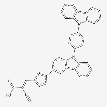 [C-]#[N+]/C(=C\c1ccc(-c2ccc3c(c2)c2ccccc2n3-c2ccc(-n3c4ccccc4c4ccccc43)cc2)o1)C(=O)O